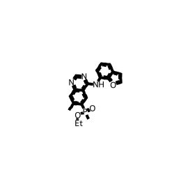 CCOP(C)(=O)c1cc2c(Nc3cccc4ccoc34)ncnc2cc1C